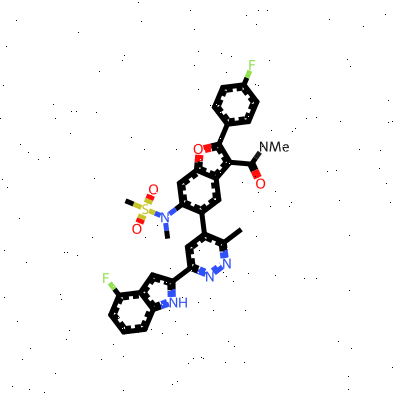 CNC(=O)c1c(-c2ccc(F)cc2)oc2cc(N(C)S(C)(=O)=O)c(-c3cc(-c4cc5c(F)cccc5[nH]4)nnc3C)cc12